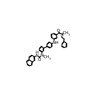 CN(CCc1ccccc1)C(=O)c1cccc(Nc2ccc(-c3cccc(N(C)C(=O)Nc4ccc5ccccc5c4)c3)cc2)c1